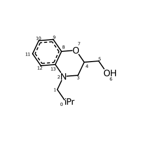 CC(C)CN1CC(CO)Oc2ccccc21